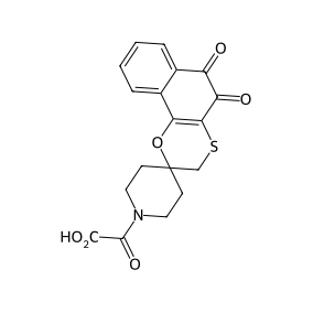 O=C(O)C(=O)N1CCC2(CC1)CSC1=C(O2)c2ccccc2C(=O)C1=O